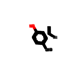 C=CC(C)=O.O=Cc1ccc(O)cc1